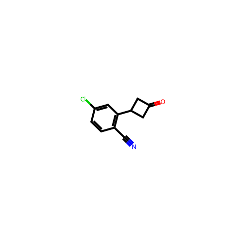 N#Cc1ccc(Cl)cc1C1CC(=O)C1